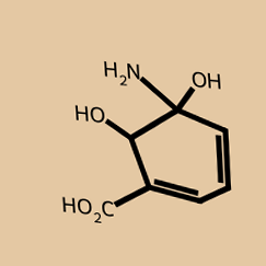 NC1(O)C=CC=C(C(=O)O)C1O